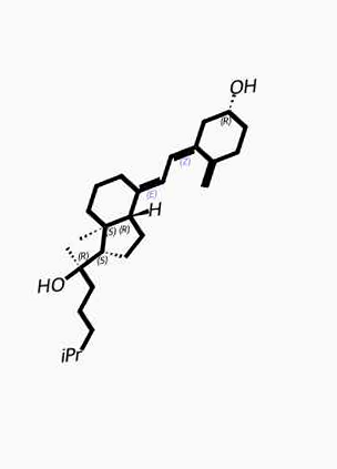 C=C1CC[C@@H](O)C/C1=C/C=C1\CCC[C@@]2(C)[C@H]1CC[C@@H]2[C@](C)(O)CCCC(C)C